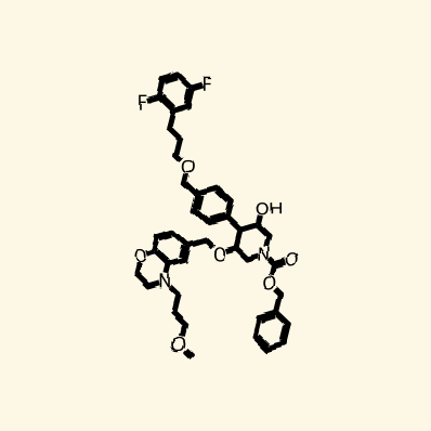 COCCCN1CCOc2ccc(COC3CN(C(=O)OCc4ccccc4)CC(O)C3c3ccc(COCCCc4cc(F)ccc4F)cc3)cc21